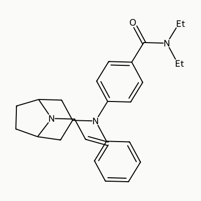 C=CCN1C2CCC1CC(N(c1ccccc1)c1ccc(C(=O)N(CC)CC)cc1)C2